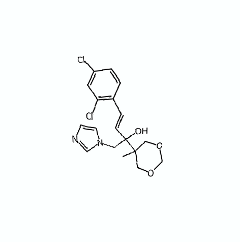 CC1(C(O)(/C=C/c2ccc(Cl)cc2Cl)Cn2ccnc2)COCOC1